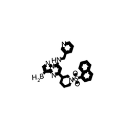 Bc1cnn2c(NCc3cccnc3)cc(C3CCCN(S(=O)(=O)c4cccc5ccccc45)C3)nc12